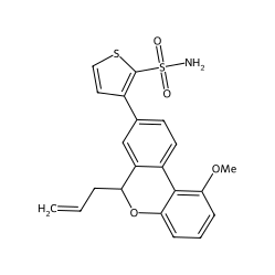 C=CCC1Oc2cccc(OC)c2-c2ccc(-c3ccsc3S(N)(=O)=O)cc21